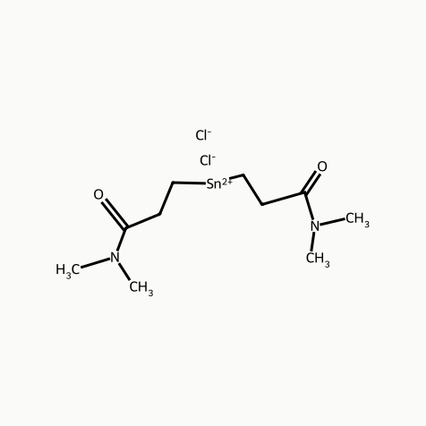 CN(C)C(=O)C[CH2][Sn+2][CH2]CC(=O)N(C)C.[Cl-].[Cl-]